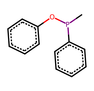 CP(Oc1ccccc1)c1ccccc1